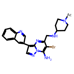 CC(=O)N1CCC(NCc2nc3c(-c4cnc5ccccc5c4)cnn3c(N)c2Br)CC1